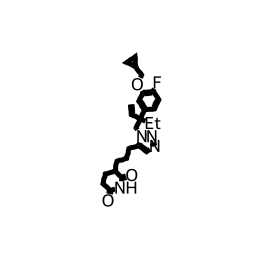 C=CC(CC)(Cn1nncc1CCCC1CCC(=O)NC1=O)c1ccc(F)c(OCC2CC2)c1